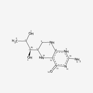 CC(O)[C@H](O)C1CNc2[nH]c(N)nc(=O)c2N1